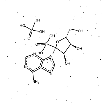 Nc1ncnc2c1ncn2[C@]1(P(=O)(O)O)O[C@H](CO)[C@@H](O)[C@H]1O.O=P(O)(O)O